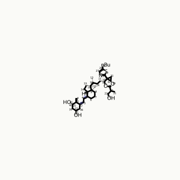 C=C1/C(=C\C=C2/CCC[C@]3(C)[C@@H]([C@H](C)CC[C@@H](OC(=O)C(C)CO)C4(c5ncc(CCCC)s5)CC4)CC[C@@H]23)C[C@@H](O)C[C@@H]1O